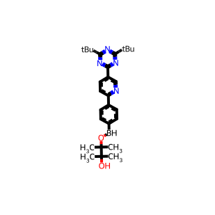 CC(C)(C)c1nc(-c2ccc(-c3ccc(BOC(C)(C)C(C)(C)O)cc3)nc2)nc(C(C)(C)C)n1